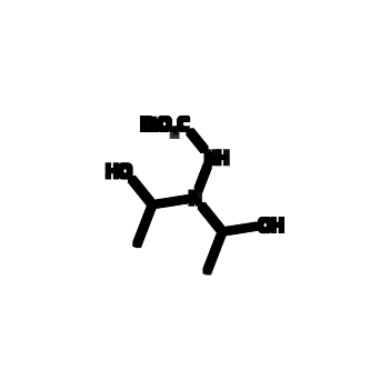 CCOC(=O)NN(C(C)O)C(C)O